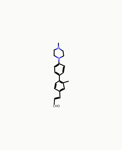 Cc1cc(/C=C/C=O)ccc1-c1ccc(N2CCN(C)CC2)cc1